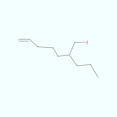 C=CCCCC(CI)CCC